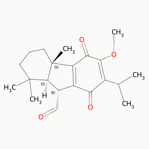 COC1=C(C(C)C)C(=O)C2=C(C1=O)[C@@]1(C)CCCC(C)(C)[C@@H]1[C@H]2C=O